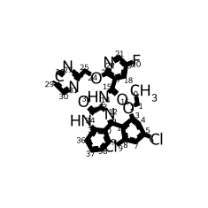 CCOc1cc(Cl)cc(Cl)c1C1=N[C@@H](NC(=O)c2cc(F)cnc2OCc2ncccn2)C(=O)Nc2ccccc21